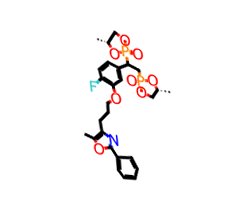 Cc1oc(-c2ccccc2)nc1CCCOc1cc(C(CP2(=O)OC[C@@H](C)O2)P2(=O)OC[C@@H](C)O2)ccc1F